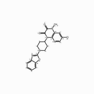 Cn1c(=O)c(=O)n(C2CCN(c3nc4ccccc4o3)CC2)c2ncc(Cl)cc21